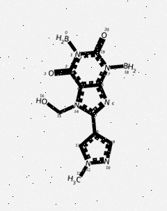 Bn1c(=O)c2c(nc(-c3cnn(C)c3)n2CO)n(B)c1=O